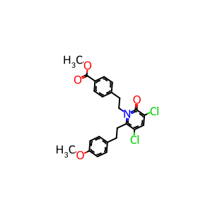 COC(=O)c1ccc(CCn2c(CCc3ccc(OC)cc3)c(Cl)cc(Cl)c2=O)cc1